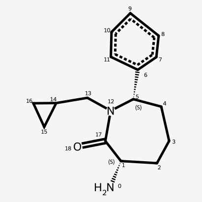 N[C@H]1CCC[C@@H](c2ccccc2)N(CC2CC2)C1=O